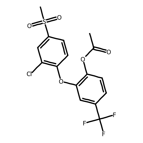 CC(=O)Oc1ccc(C(F)(F)F)cc1Oc1ccc(S(C)(=O)=O)cc1Cl